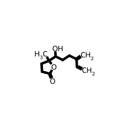 C=CC(=C)CCC(O)C1(C)CCC(=O)O1